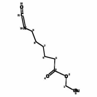 CC(C)(C)COC(=O)CCCCCN=C=O